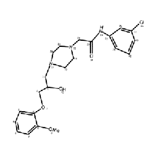 COc1ccccc1OCC(O)CN1CCN(CC(=O)Nc2cccc(Cl)c2)CC1